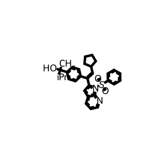 CC(C)C(C)(O)c1ccc(C(=CC2CCCC2)c2cc3cccnc3n2S(=O)(=O)c2ccccc2)cc1